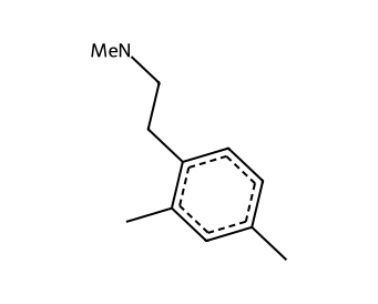 [CH2-][NH2+]CCc1ccc(C)cc1C